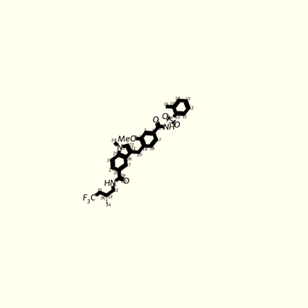 COc1cc(C(=O)NS(=O)(=O)c2ccccc2C)ccc1Cc1cn(C)c2ccc(C(=O)NC[C@H](C)CC(F)(F)F)cc12